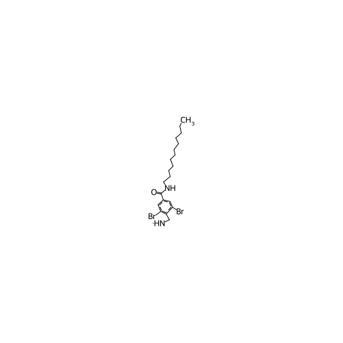 CCCCCCCCCCCCNC(=O)c1cc(Br)c(C[NH])c(Br)c1